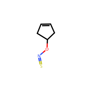 S=NOC1CC=CC1